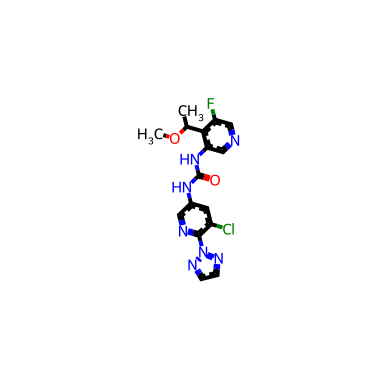 COC(C)c1c(F)cncc1NC(=O)Nc1cnc(-n2nccn2)c(Cl)c1